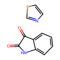 O=C1Nc2ccccc2C1=O.c1cscn1